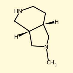 CN1C[C@H]2CCNC[C@H]2C1